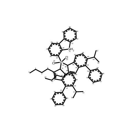 CCCCC1=Cc2c(ccc(C(C)C)c2-c2ccccc2)[CH]1[Zr]([Cl])([Cl])([c]1cccc2c1[SiH2]c1ccccc1-2)[CH]1C(CCCC)=Cc2c1ccc(C(C)C)c2-c1ccccc1